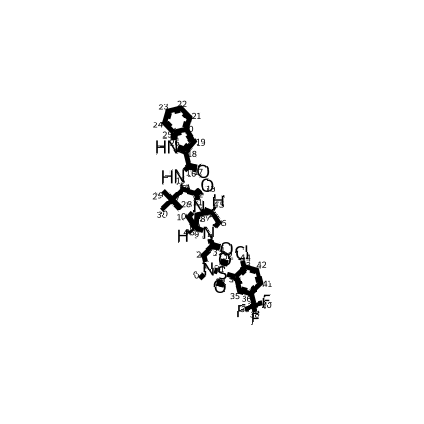 CN(CC(=O)N1C[C@@H]2C[C@H]1CN2C(=O)[C@@H](NC(=O)c1cc2ccccc2[nH]1)C(C)(C)C)S(=O)(=O)c1cc(C(F)(F)F)ccc1Cl